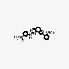 COc1ccccc1-c1cc2c(s1)CCc1cnc(Nc3cccc([S+](N)[O-])c3)nc1-2